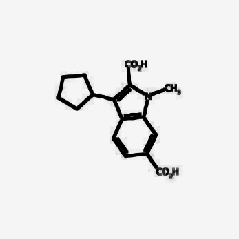 Cn1c(C(=O)O)c(C2CCCC2)c2ccc(C(=O)O)cc21